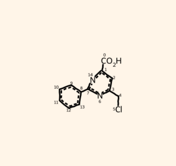 O=C(O)c1cc(CCl)nc(-c2ccccc2)n1